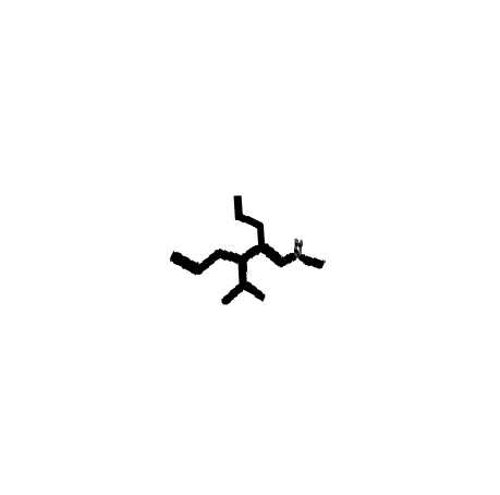 C=CCC(/C(=C/NC)CCC)C(C)C